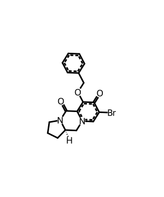 O=C1c2c(OCc3ccccc3)c(=O)c(Br)cn2C[C@H]2CCCN12